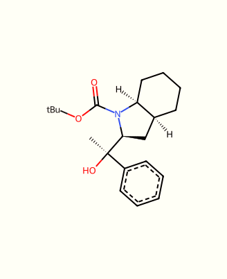 CC(C)(C)OC(=O)N1[C@H]([C@](C)(O)c2ccccc2)C[C@@H]2CCCC[C@@H]21